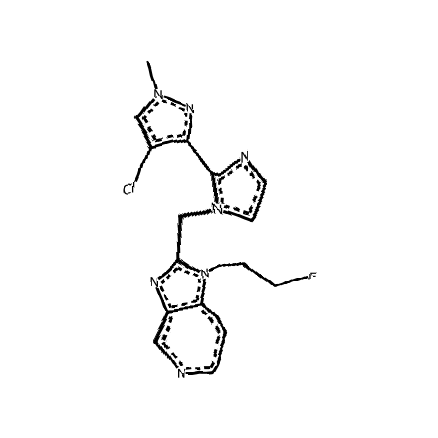 Cn1cc(Cl)c(-c2nccn2Cc2nc3cnccc3n2CCF)n1